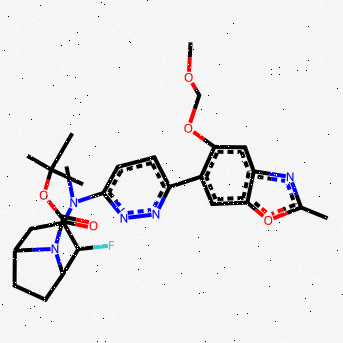 COCOc1cc2nc(C)oc2cc1-c1ccc(N(C)C2CC3CCC(C2F)N3C(=O)OC(C)(C)C)nn1